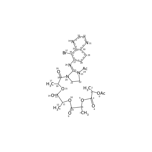 CC(=O)OC(C)C(=O)OC(C)C(=O)OC(C)C(=O)OC(C)C(=O)N1CCN(C(C)=O)/C1=N\c1ccc2nccnc2c1Br